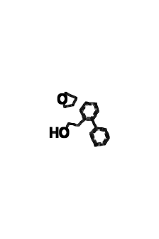 C1CCOC1.OCCc1ccccc1-c1ccccc1